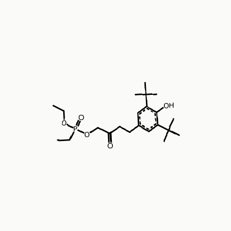 CCOP(=O)(CC)OCC(=O)CCc1cc(C(C)(C)C)c(O)c(C(C)(C)C)c1